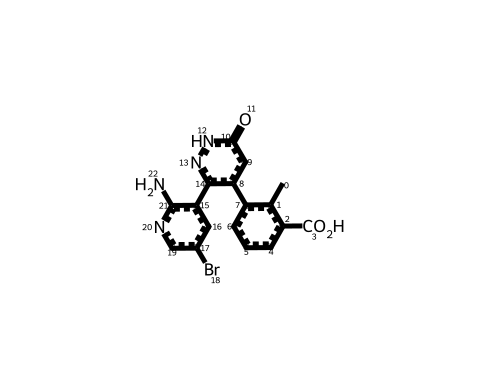 Cc1c(C(=O)O)cccc1-c1cc(=O)[nH]nc1-c1cc(Br)cnc1N